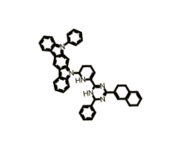 C1=CC2=C(C=C(C3=NC(c4ccccc4)NC(C4=CCCC(n5c6ccccc6c6cc7c8ccccc8n(-c8ccccc8)c7cc65)N4)=N3)CC2)CC1